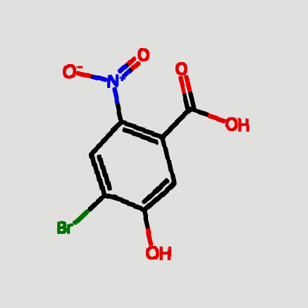 O=C(O)c1cc(O)c(Br)cc1[N+](=O)[O-]